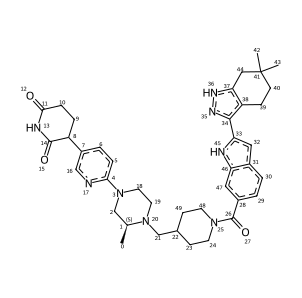 C[C@H]1CN(c2ccc(C3CCC(=O)NC3=O)cn2)CCN1CC1CCN(C(=O)c2ccc3cc(-c4n[nH]c5c4CCC(C)(C)C5)[nH]c3c2)CC1